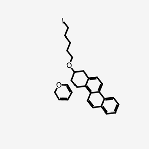 C1=CCOC=C1.ICCCCCOC1CCc2c(ccc3c2ccc2ccccc23)C1